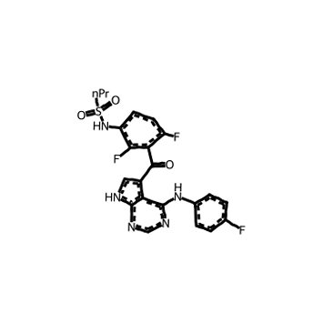 CCCS(=O)(=O)Nc1ccc(F)c(C(=O)c2c[nH]c3ncnc(Nc4ccc(F)cc4)c23)c1F